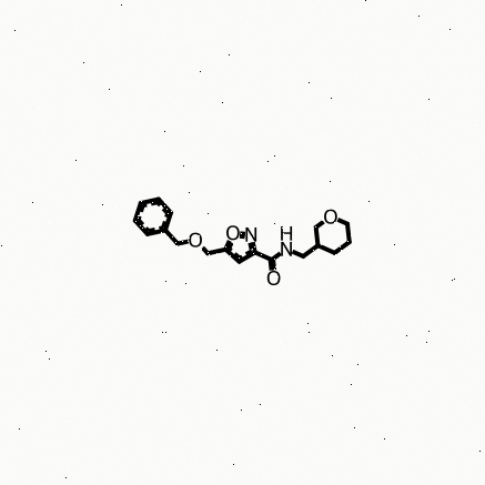 O=C(NCC1CCCOC1)c1cc(COCc2ccccc2)on1